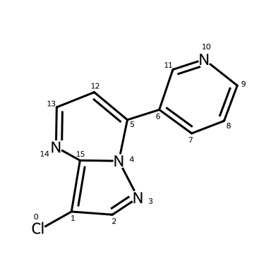 Clc1cnn2c(-c3cccnc3)ccnc12